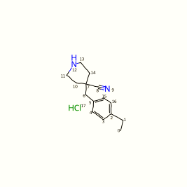 CCc1ccc(CC2(C#N)CCNCC2)cc1.Cl